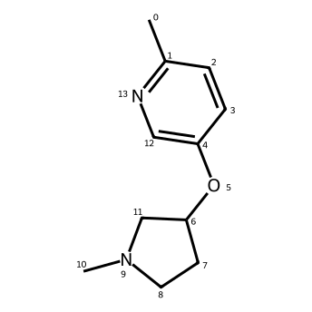 Cc1ccc(OC2CCN(C)C2)cn1